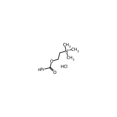 CCCC(=O)OCC[N+](C)(C)C.Cl